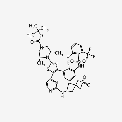 C[C@H]1CN(C(=O)OC(C)(C)C)C[C@H](C)N1c1nc(-c2cccc(NS(=O)(=O)c3c(F)cccc3C(F)(F)F)c2F)c(-c2ccnc(NC3CC4(C3)CS(=O)(=O)C4)n2)s1